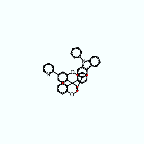 c1ccc(-n2c3ccccc3c3cc(-c4cccc5c4C4(c6ccccc6Oc6cc(-c7ccccn7)ccc64)c4ccccc4O5)ccc32)cc1